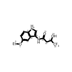 CCOc1ccc2[nH]cc(NC(=O)CC(O)C(F)(F)F)c2c1